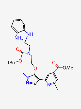 COC(=O)c1cc(C)nc(-c2cnn(C)c2OCCN(CCNc2ccccc2N)C(=O)OC(C)(C)C)c1